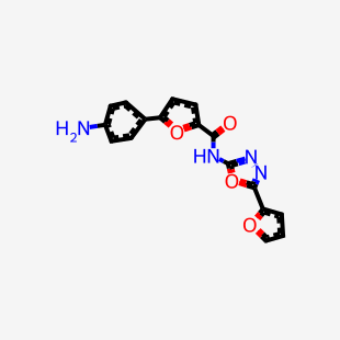 Nc1ccc(-c2ccc(C(=O)Nc3nnc(-c4ccco4)o3)o2)cc1